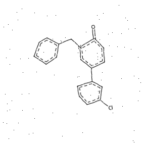 O=c1ccc(-c2cccc(Cl)c2)cn1Cc1ccccc1